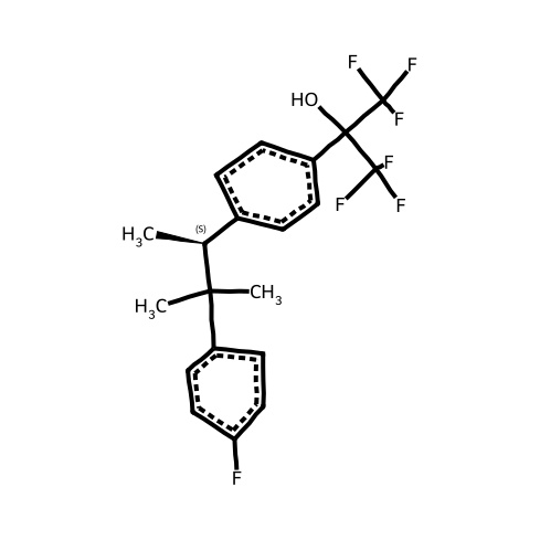 C[C@@H](c1ccc(C(O)(C(F)(F)F)C(F)(F)F)cc1)C(C)(C)c1ccc(F)cc1